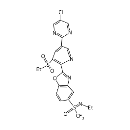 CCN=S(=O)(c1ccc2oc(-c3ncc(-c4ncc(Cl)cn4)cc3S(=O)(=O)CC)nc2c1)C(F)(F)F